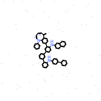 C=C1/C=C\C=C/N(c2ccccc2)c2cc(-c3cc(-c4cccc(-c5ccccc5Nc5ccc(-c6ccccc6)cc5)c4)ccc3Nc3ccc4ccccc4c3)ccc21